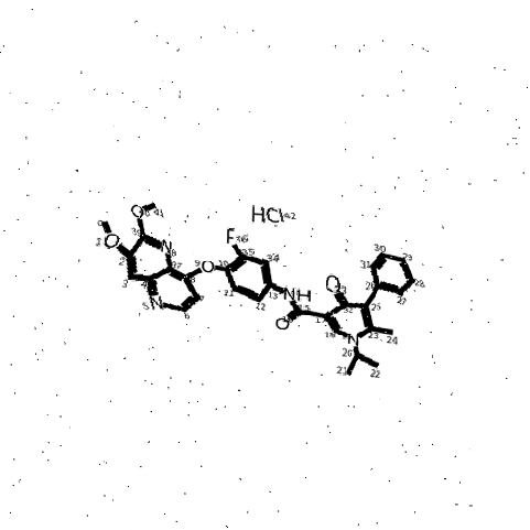 COc1cc2nccc(Oc3ccc(NC(=O)c4cn(C(C)C)c(C)c(-c5ccccc5)c4=O)cc3F)c2nc1OC.Cl